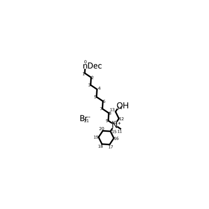 CCCCCCCCCCCCCCCCCCC[N+](C)(CCO)C1CCCCC1.[Br-]